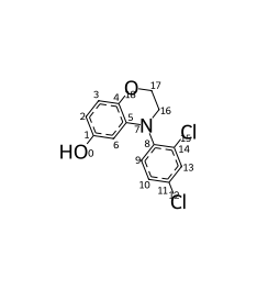 Oc1ccc2c(c1)N(c1ccc(Cl)cc1Cl)CCO2